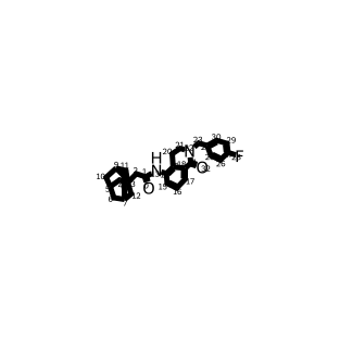 O=C(CC12CC3CC(CC(C3)C1)C2)Nc1cccc2c1CCN(Cc1ccc(F)cc1)C2=O